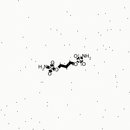 NS(=O)(=O)OCCCOS(N)(=O)=O